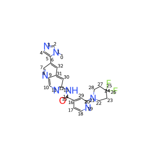 Cn1cncc1-c1cnc2cnc(NC(=O)c3ccnc(N4CCC(F)(F)CC4)c3)cc2c1